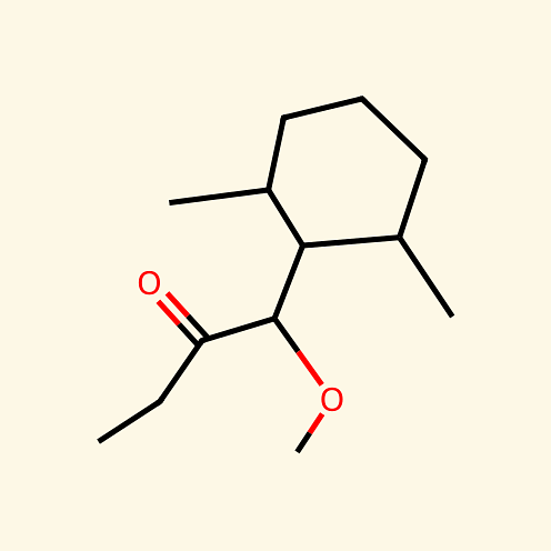 CCC(=O)C(OC)C1C(C)CCCC1C